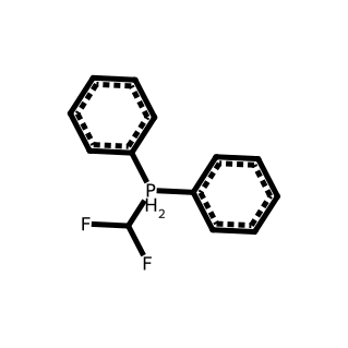 FC(F)[PH2](c1ccccc1)c1ccccc1